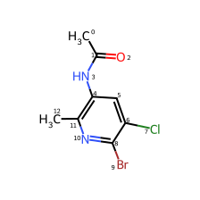 CC(=O)Nc1cc(Cl)c(Br)nc1C